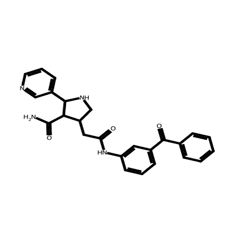 NC(=O)C1C(CC(=O)Nc2cccc(C(=O)c3ccccc3)c2)CNC1c1cccnc1